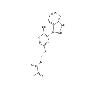 C=C(C)C(=O)OCCc1ccc(O)c(N2NNc3ccccc32)c1